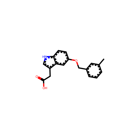 Cc1cccc(COc2ccc3[nH]cc(CC(=O)O)c3c2)c1